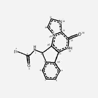 CCC(=O)NC1c2ccccc2-c2[nH]c(=O)c3nccn3c21